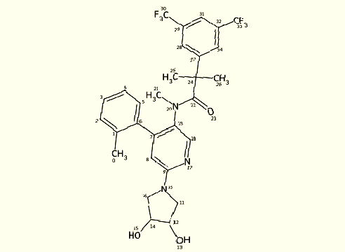 Cc1ccccc1-c1cc(N2CC(O)C(O)C2)ncc1N(C)C(=O)C(C)(C)c1cc(C(F)(F)F)cc(C(F)(F)F)c1